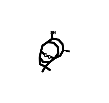 C[C@@H]1CCC(S)C2CCCC3(CCC(C2)C2CC3C(C)(C)C2)C1